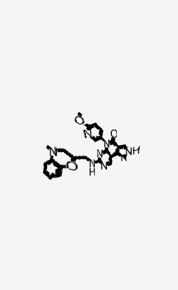 COc1ccc(-n2c(=O)c3c[nH]nc3c3cnc(NCC4CN(C)c5ccccc5O4)nc32)cn1